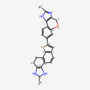 CC(C)c1nc2c([nH]1)-c1ccc(-c3cc4ccc5c(c4s3)CCC3=C5NC(C(C)C)N3)cc1OC2